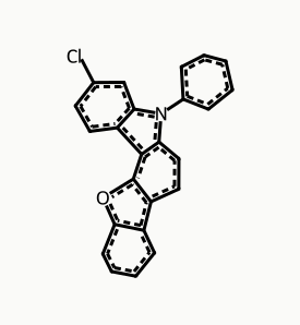 Clc1ccc2c3c4oc5ccccc5c4ccc3n(-c3ccccc3)c2c1